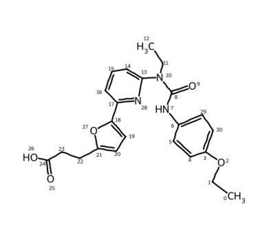 CCOc1ccc(NC(=O)N(CC)c2cccc(-c3ccc(CCC(=O)O)o3)n2)cc1